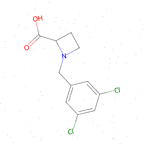 O=C(O)C1CCN1Cc1cc(Cl)cc(Cl)c1